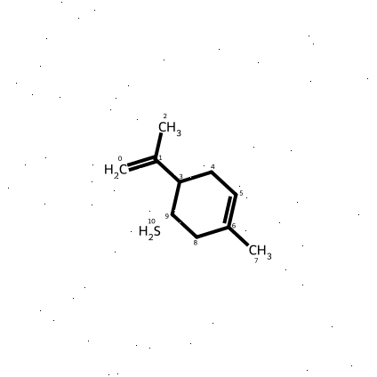 C=C(C)C1CC=C(C)CC1.S